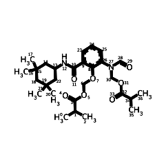 CC(C)C(=O)OCOc1c(C(=O)NC2CC(C)(C)CC(C)(C)C2)cccc1N(C=O)COC(=O)C(C)C